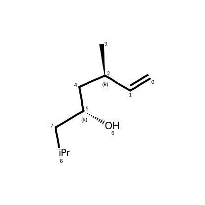 C=C[C@H](C)C[C@H](O)CC(C)C